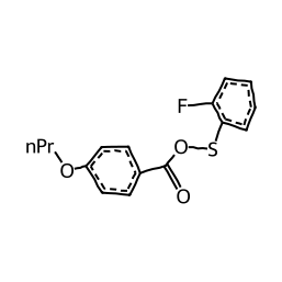 CCCOc1ccc(C(=O)OSc2ccccc2F)cc1